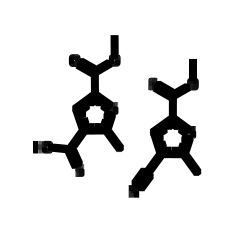 COC(=O)c1cc(C(O)=S)c(C)s1.COC(=S)c1cc(C#N)c(C)s1